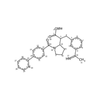 COC(=O)C(Cc1cccc(C(C)=N)c1)C1CCCN1C(=O)c1ccc(-c2ccccn2)cc1